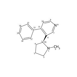 CN1CCC[C@H]1c1cnccc1-c1ccccc1